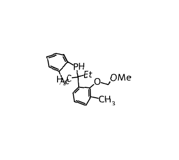 CCC(C)(Pc1ccccc1C(C)=O)c1cccc(C)c1OCOC